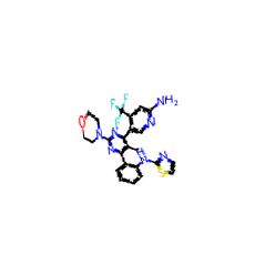 Cc1c(-c2ccccc2Nc2nccs2)nc(N2CCOCC2)nc1-c1cnc(N)cc1C(F)(F)F